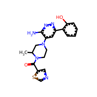 CC1CN(c2cc(-c3ccccc3O)nnc2N)CCN1C(=O)c1cncs1